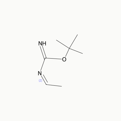 C/C=N\C(=N)OC(C)(C)C